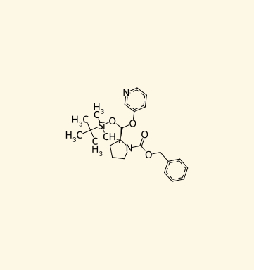 CC(C)(C)[Si](C)(C)OC(Oc1cccnc1)[C@@H]1CCCN1C(=O)OCc1ccccc1